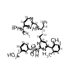 Cc1cccc(C)c1-c1cc(CC[C@@H](CC(C)C)NCc2nccc(N(C)C(C)C)n2)nc(NS(=O)(=O)c2cccc(C(=O)O)c2)n1